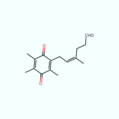 CC(=CCC1=C(C)C(=O)C(C)=C(C)C1=O)CCC=O